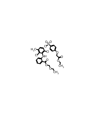 CCOC(=O)COc1ccc(S(=O)(=O)Cl)cc1.CCOCOC(=O)c1ccccc1Nc1c(Cl)ccc(C)c1Cl